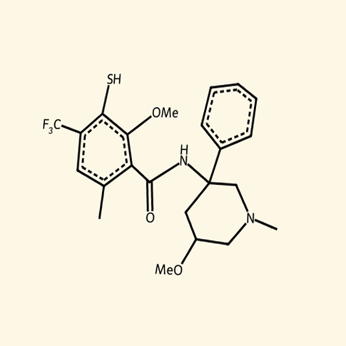 COc1c(S)c(C(F)(F)F)cc(C)c1C(=O)NC1(c2ccccc2)CC(OC)CN(C)C1